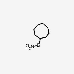 O=[N+]([O-])OC1CCCCCCC1